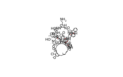 COc1cc2cc(c1Cl)N(C)C(=O)C[C@H](OC(=O)[C@H](C)N(C)C(=O)CCSC1CC(=O)N(CC(=O)N[C@H](Cc3ccccc3)C(=O)N[C@H]3CSSC[C@@H](C(=O)N[C@H](CO)[C@@H](C)O)NC(=O)[C@H]([C@@H](C)O)NC(=O)C(CCCCN)NC(=O)[C@@H](Cc4c[nH]c5ccccc45)NC(=O)[C@H](Cc4ccccc4)NC3=O)C1=O)[C@]1(C)O[C@H]1[C@H](C)[C@@H]1C[C@@](O)(NC(=O)O1)[C@H](OC)/C=C/C=C(\C)C2